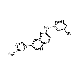 Cc1cn(-c2cnc3ccc(Nc4cc(C(C)C)cnn4)nc3c2)cn1